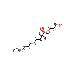 CCCCCCCCCCCCCCCCC(C)(C)C(=O)OCCC[S]